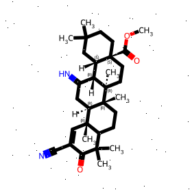 COC(=O)[C@]12CCC(C)(C)C[C@H]1[C@H]1C(=N)C[C@@H]3[C@@]4(C)C=C(C#N)C(=O)C(C)(C)C4CC[C@@]3(C)[C@]1(C)CC2